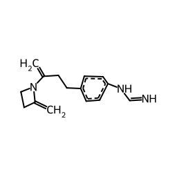 C=C(CCc1ccc(NC=N)cc1)N1CCC1=C